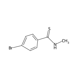 CNC(=S)c1ccc(Br)cc1